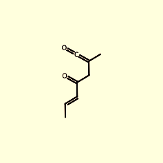 CC=CC(=O)CC(C)=C=O